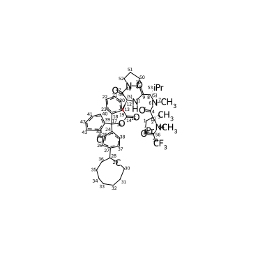 CC(C)C[C@@](C)(C(=O)N(C)[C@H](C(=O)N[C@@H](CC(=O)OC(c1ccccc1)(c1ccc(C2CCCCCCCC2)cc1)c1ccccc1Cl)C(=O)N1CCCC1)C(C)C)N(C)C(=O)C(F)(F)F